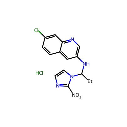 CCC(Nc1cnc2cc(Cl)ccc2c1)n1ccnc1[N+](=O)[O-].Cl